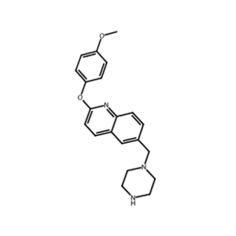 COc1ccc(Oc2ccc3cc(CN4CCNCC4)ccc3n2)cc1